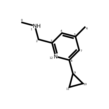 CNCc1cc(C)cc(C2CC2)n1